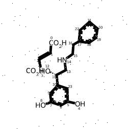 O=C(O)C=CC(=O)O.Oc1cc(O)cc([C@H](O)CNCCc2ccccc2)c1